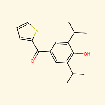 CC(C)c1cc(C(=O)c2cccs2)cc(C(C)C)c1O